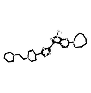 Cn1nc(-c2nnc(C3CCN(CCN4CCCCC4)CC3)o2)c2ccc(N3CCCCCCC3)nc21